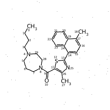 CCCCN1CCCN(C(=O)c2sc(-c3ccc(C)c4ccccc34)nc2C)CC1